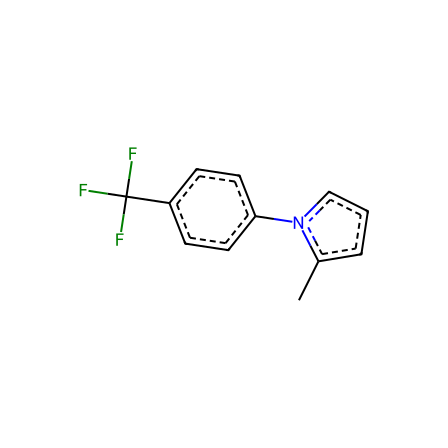 Cc1cccn1-c1ccc(C(F)(F)F)cc1